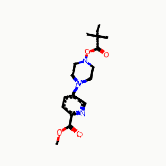 COC(=O)c1ccc(N2CCN(OC(=O)C(C)(C)C)CC2)cn1